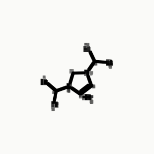 Br.CCC(CC)N1C=CN(C(CC)CC)C1